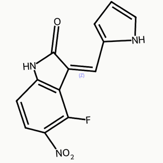 O=C1Nc2ccc([N+](=O)[O-])c(F)c2/C1=C/c1ccc[nH]1